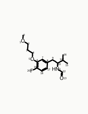 COCCCOc1cc(CC(NC=O)C(C)C)ccc1F